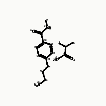 CC(C)C(=O)O.CNC(=O)c1ccc(CCCN)cc1